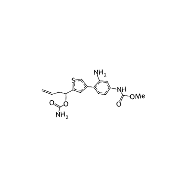 C=CCC(OC(N)=O)c1cc(-c2ccc(NC(=O)OC)cc2N)cs1